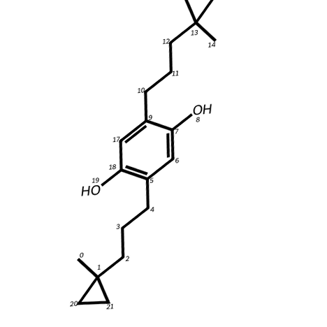 CC1(CCCc2cc(O)c(CCCC3(C)CC3)cc2O)CC1